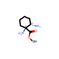 CC(C)(C)OC(=O)[C@]1(N)CCCC[C@@H]1N